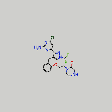 Nc1nc(Cl)cc(-c2nn(C(F)F)cc2Cc2ccccc2OCCN2CCNCC2=O)n1